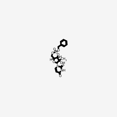 CC1(O)[C@H]2OP(=O)(OCc3ccccc3)OC[C@H]2O[C@H]1n1ccc(=O)[nH]c1=S